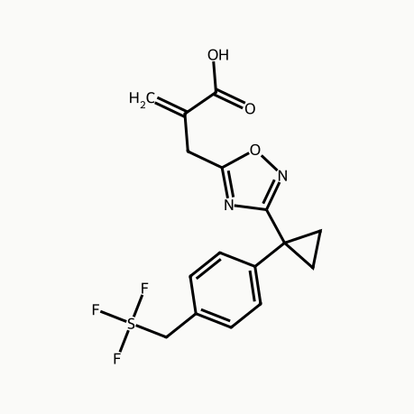 C=C(Cc1nc(C2(c3ccc(CS(F)(F)F)cc3)CC2)no1)C(=O)O